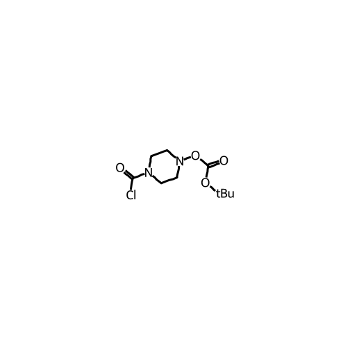 CC(C)(C)OC(=O)ON1CCN(C(=O)Cl)CC1